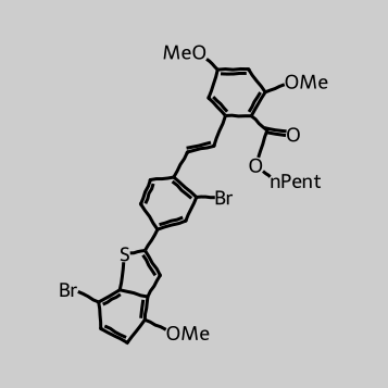 CCCCCOC(=O)c1c(C=Cc2ccc(-c3cc4c(OC)ccc(Br)c4s3)cc2Br)cc(OC)cc1OC